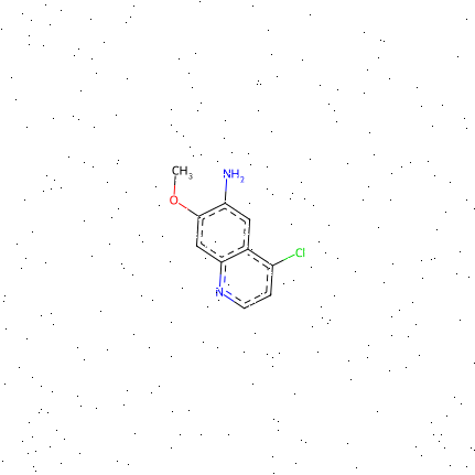 COc1cc2nccc(Cl)c2cc1N